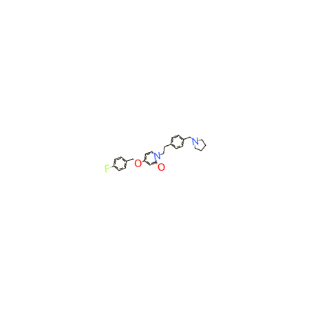 O=c1cc(OCc2ccc(F)cc2)ccn1CCc1ccc(CN2CCCC2)cc1